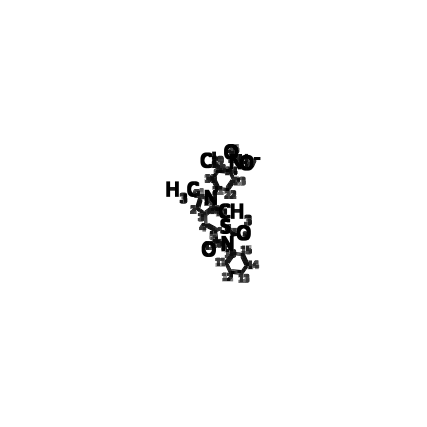 Cc1cc(C=C2SC(=O)N(c3ccccc3)C2=O)c(C)n1-c1ccc([N+](=O)[O-])c(Cl)c1